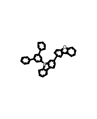 c1ccc(-c2cc(-c3ccccc3)cc(-n3c4ccccc4c4ccc(-c5ccc6oc7ccccc7c6c5)cc43)c2)cc1